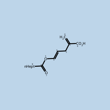 C=C(CC=COC(=O)CCCCCCC)C(=O)O